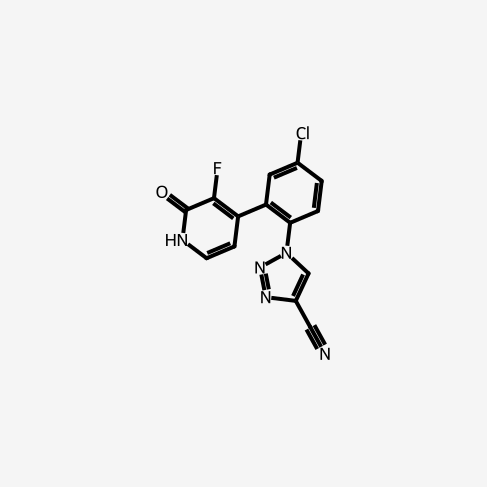 N#Cc1cn(-c2ccc(Cl)cc2-c2cc[nH]c(=O)c2F)nn1